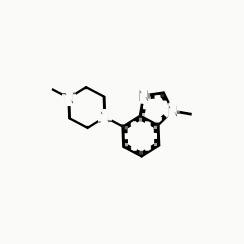 CN1CCN(c2cccc3c2ncn3C)CC1